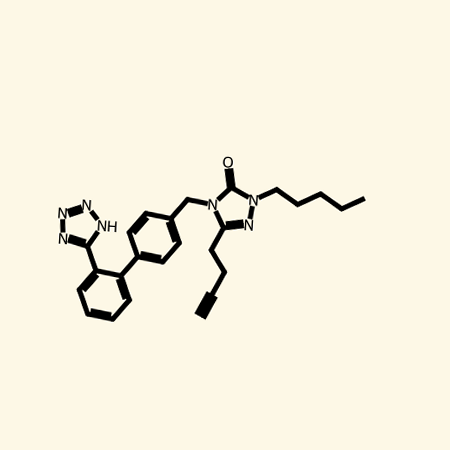 C#CCCc1nn(CCCCC)c(=O)n1Cc1ccc(-c2ccccc2-c2nnn[nH]2)cc1